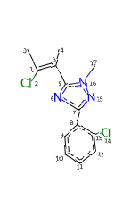 CC(Cl)=C(C)c1nc(-c2ccccc2Cl)nn1C